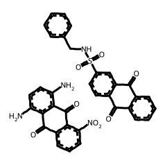 Nc1ccc(N)c2c1C(=O)c1cccc([N+](=O)[O-])c1C2=O.O=C1c2ccccc2C(=O)c2cc(S(=O)(=O)NCc3ccccc3)ccc21